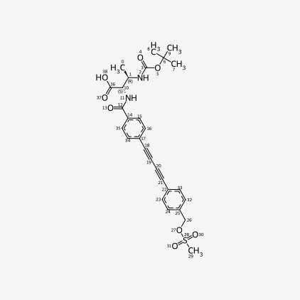 C[C@@H](NC(=O)OC(C)(C)C)[C@H](NC(=O)c1ccc(C#CC#Cc2ccc(COS(C)(=O)=O)cc2)cc1)C(=O)O